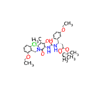 CCOc1cccc([C@H](CC(=O)OC(C)(C)C)NC(=O)Nc2c(O)c(C)cn(Cc3c(Cl)cccc3OCC)c2=O)c1